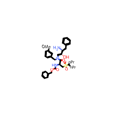 CCCC(CCC)S(=O)(=O)CC(NC(=O)OCc1ccccc1)C(=O)N(Cc1cccc(OC)c1)C[C@@H](O)[C@@H](N)Cc1ccccc1